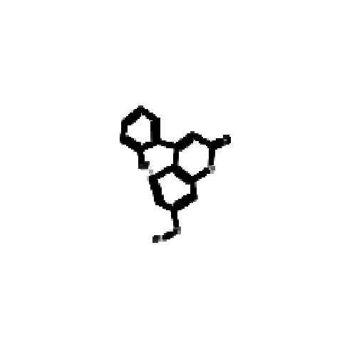 CCCOc1ccc2c(-c3ccccc3C(F)(F)F)cc(=O)oc2c1